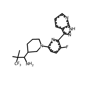 CC(C)(C(N)C1CCCN(c2ccc(F)c(-c3n[nH]c4ncccc34)n2)C1)C(F)(F)F